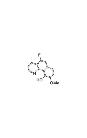 COc1ccc2cc(F)c3cccnc3c2c1O